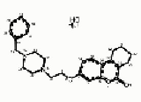 Cl.Cl.O=c1oc2cc(OCCN3CCN(Cc4ccccc4)CC3)ccc2c2c1CCCC2